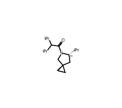 CC(C)C(C(=O)N1CC2(CC2)C[C@H]1C(C)C)C(C)C